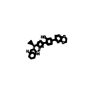 Oc1cc(-c2cnc3c(n2)OCCO3)ccc1-c1ncc(N(C2CC2)[C@H]2C[C@@H]3CCC[C@@H](C3)[C@H]2F)nn1